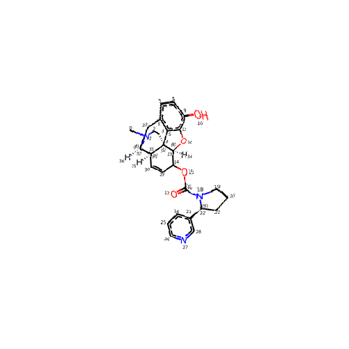 CN1CC[C@]23c4c5ccc(O)c4O[C@H]2C(OC(=O)N2CCC[C@H]2c2cccnc2)C=C[C@H]3[C@H]1C5